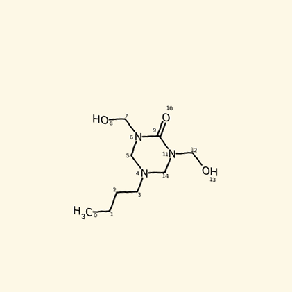 CCCCN1CN(CO)C(=O)N(CO)C1